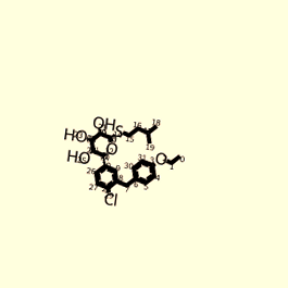 CCOc1ccc(Cc2cc([C@@H]3O[C@H](SCCC(C)C)[C@@H](O)[C@H](O)[C@H]3O)ccc2Cl)cc1